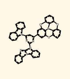 c1cc2c3c(c1)Oc1cc(-c4cc(-n5c6ccccc6c6ccccc65)nc(-n5c6ccccc6n6c7ccccc7nc56)n4)cc4c1B3c1c(cccc1O4)O2